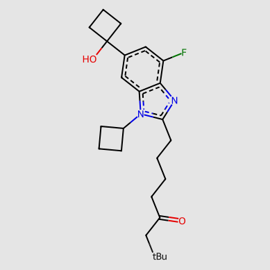 CC(C)(C)CC(=O)CCCCc1nc2c(F)cc(C3(O)CCC3)cc2n1C1CCC1